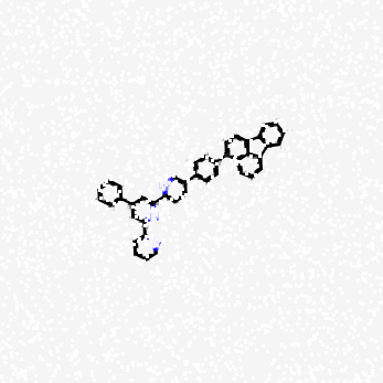 c1ccc(-c2cc(-c3ccccn3)nc(-c3ccc(-c4ccc(-c5ccc6c7c(cccc57)-c5ccccc5-6)cc4)cn3)c2)cc1